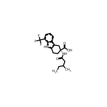 CCC(C)CC(=O)N[C@]1(C(=O)O)CCc2[nH]c3c(C(F)(F)F)cccc3c2C1